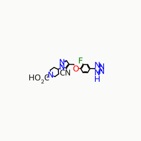 N#Cc1c(COc2ccc(-c3nnn[nH]3)cc2F)cnn1C1CCN(C(=O)O)CC1